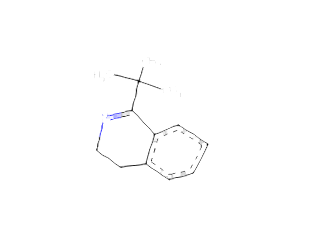 CC(C)(C)C1=NCCc2ccccc21